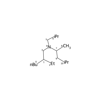 CCCCC(CC)CN(CC(C)C)C(C)CC(C)C